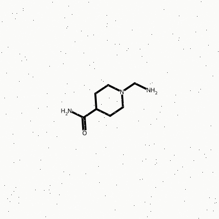 NCN1CCC(C(N)=O)CC1